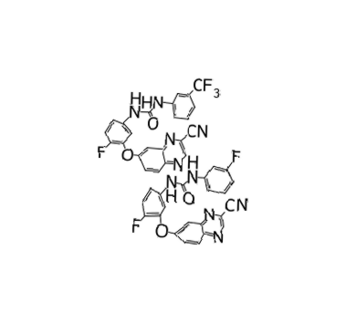 N#Cc1cnc2ccc(Oc3cc(NC(=O)Nc4cccc(C(F)(F)F)c4)ccc3F)cc2n1.N#Cc1cnc2ccc(Oc3cc(NC(=O)Nc4cccc(F)c4)ccc3F)cc2n1